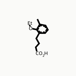 CCOc1c(C)cccc1CCCC(=O)O